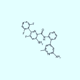 Cc1cc(-c2ccncc2NC(=O)c2nc(-c3c(F)cccc3F)c(F)cc2N)cc(N)n1